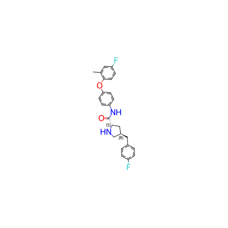 Cc1cc(F)ccc1Oc1ccc(NC(=O)[C@@H]2C[C@@H](Cc3ccc(F)cc3)CN2)cc1